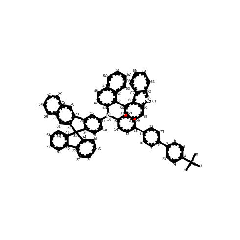 CC(C)(C)c1ccc(-c2ccc(-c3ccc(N(c4ccc5c(c4)-c4cc6ccccc6cc4C54c5ccccc5-c5ccccc54)c4ccc5ccccc5c4-c4cccc5sc6ccccc6c45)cc3)cc2)cc1